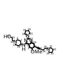 COc1cc2c(NC3CCN(CCO)CC3)nc(N3CCCC3)nc2cc1C#CCCN1CCCC1